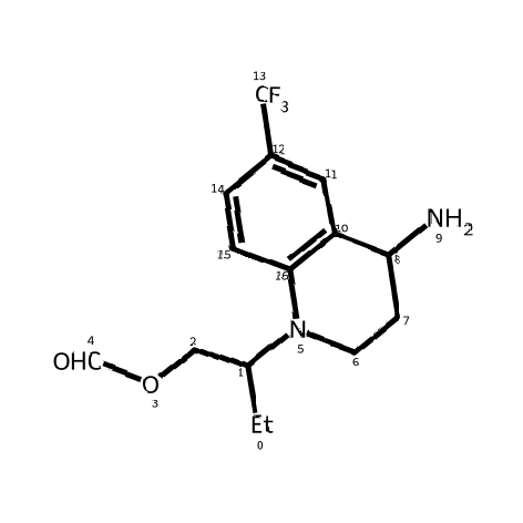 CCC(COC=O)N1CCC(N)c2cc(C(F)(F)F)ccc21